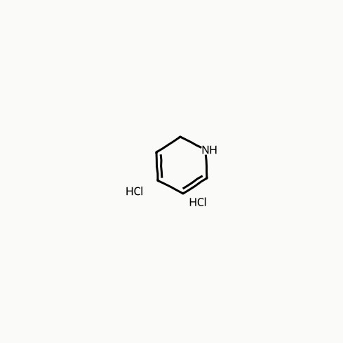 C1=CCNC=C1.Cl.Cl